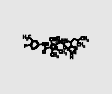 Cc1cc(NC(=O)c2c(C)c(C(=O)C(=O)NC(CC(C)C)c3nn[nH]n3)n(C)c2C)ccc1F